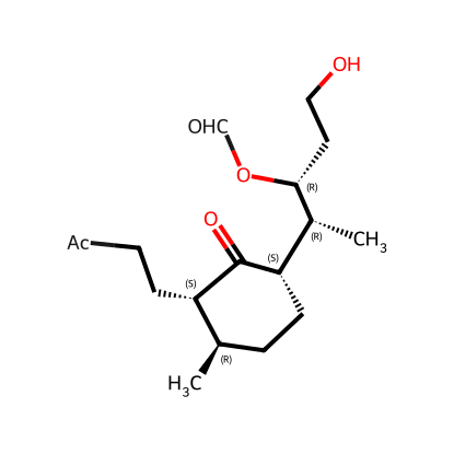 CC(=O)CC[C@@H]1C(=O)[C@H]([C@@H](C)[C@@H](CCO)OC=O)CC[C@H]1C